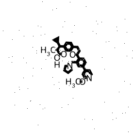 COc1cc(-c2ccc(C3CCc4ccc(C(C5CC5)[C@H](C)C(=O)O)cc4O3)c(CN3CCCC3)c2)ccn1